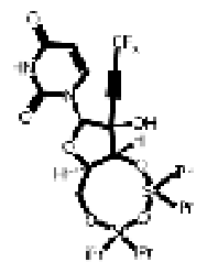 CC(C)[Si]1(C(C)C)OC[C@H]2O[C@@H](n3ccc(=O)[nH]c3=O)[C@](O)(C#CC(F)(F)F)[C@@H]2O[Si](C(C)C)(C(C)C)O1